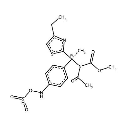 CCc1csc([C@](C)(c2ccc(NO[SH](=O)=O)cc2)N(C(C)=O)C(=O)OC)n1